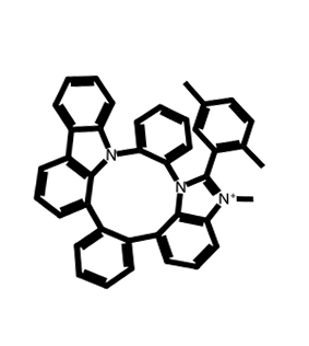 Cc1ccc(C)c(-c2n3c4ccccc4n4c5ccccc5c5cccc(c6ccccc6c6cccc(c63)[n+]2C)c54)c1